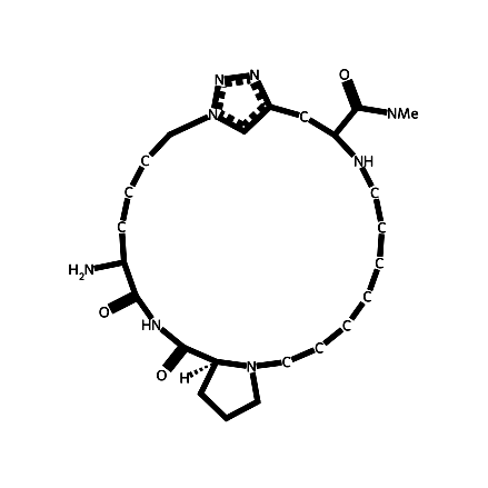 CNC(=O)C1Cc2cn(nn2)CCCCC(N)C(=O)NC(=O)[C@@H]2CCCN2CCCCCCCN1